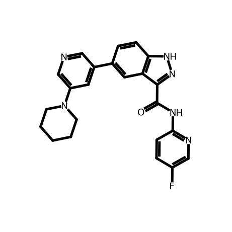 O=C(Nc1ccc(F)cn1)c1n[nH]c2ccc(-c3cncc(N4CCCCC4)c3)cc12